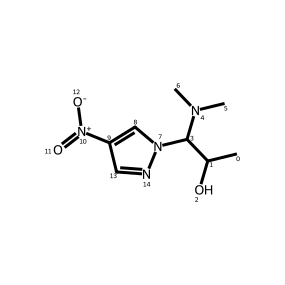 CC(O)C(N(C)C)n1cc([N+](=O)[O-])cn1